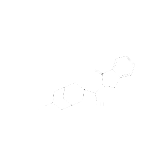 CCC1(C(C)N2Cc3ccccc3C2=O)CC2CC(C)CC(C2)C1